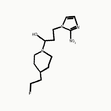 O=[N+]([O-])c1nccn1CCC(O)N1CCC(CCF)CC1